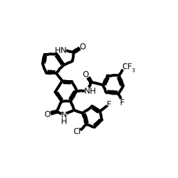 O=C1Cc2c(cccc2-c2cc(NC(=O)c3cc(F)cc(C(F)(F)F)c3)c3c(c2)C(=O)NC3c2cc(F)ccc2Cl)N1